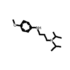 COc1ccc(NCCCN(C(C)C)C(C)C)cc1